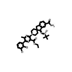 CCOC(=O)c1nc(-c2cccc(Cl)c2Cl)c(C)nc1N1CCC2(CC1)Cc1ccc(C(N)=O)cc1C2=N[S@+]([O-])C(C)(C)C